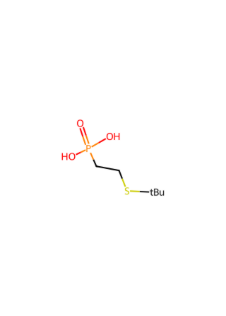 CC(C)(C)SCCP(=O)(O)O